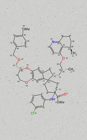 COC(=O)C1(Nc2cccc(Cl)c2)CCC2(CC1)c1cc3c(cc1C[C@@H]2C[C@@H](C)COc1ccnc2c1[C@H](C)CCC2)O[C@@H](COCc1ccc(OC)cc1)CCO3